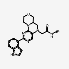 CC(C)NC(=O)CN1CC2COCCN2c2nc(-c3cccc4[nH]ccc34)ncc21